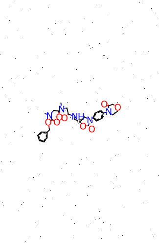 CN(CC(=O)NC[C@H]1CN(c2ccc(N3CCOCC3=O)cc2)C(=O)O1)C(=O)CN(C)C(=O)OCc1ccccc1